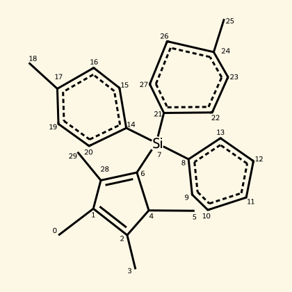 CC1=C(C)C(C)C([Si](c2ccccc2)(c2ccc(C)cc2)c2ccc(C)cc2)=C1C